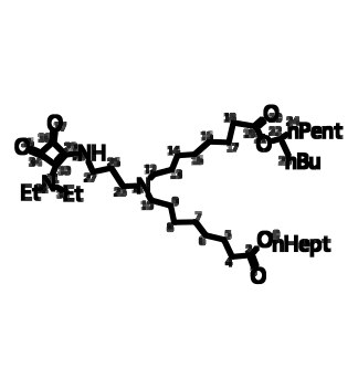 CCCCCCCOC(=O)CCCCCCCN(CCCCCCCC(=O)OC(CCCC)CCCCC)CCCNc1c(N(CC)CC)c(=O)c1=O